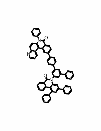 O=c1c2ccccc2c2c(-c3ccccc3)cc(-c3ccccc3)cc2n1-c1cc(-c2ccccc2)cc(-c2ccc(-c3ccc4c(=O)n(-c5ccccc5)c5ccc6ncccc6c5c4c3)cc2)c1